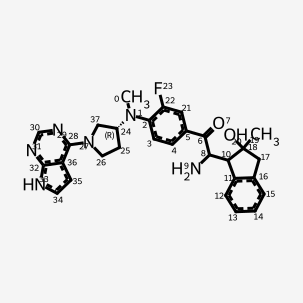 CN(c1ccc(C(=O)C(N)C2c3ccccc3CC2(C)O)cc1F)[C@@H]1CCN(c2ncnc3[nH]ccc23)C1